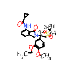 [2H]C([2H])([2H])S(=O)(=O)C[C@]([2H])(c1ccc(OC)c(OCC)c1)N1Cc2cccc(NC(=O)C3CC3)c2C1=O